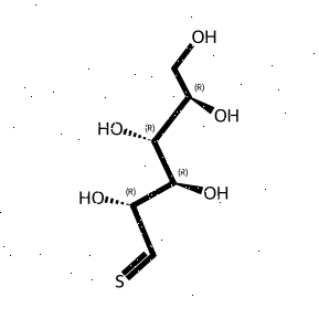 OC[C@@H](O)[C@@H](O)[C@@H](O)[C@@H](O)C=S